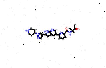 CC(=O)C(C)(C)NC(=O)c1cccc(-c2cnc3[nH]c(-c4cnn(C5CCNCC5)c4)cc3c2)n1